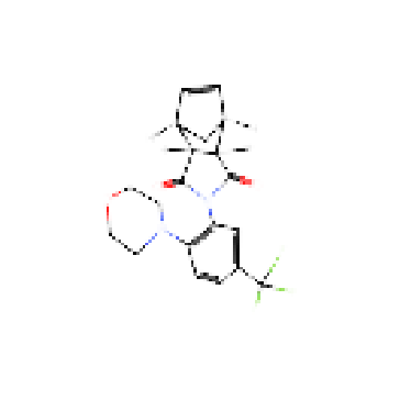 O=C1[C@@H]2[C@H](C(=O)N1c1cc(C(F)(F)F)ccc1N1CCOCC1)[C@@H]1C=C[C@H]2C1